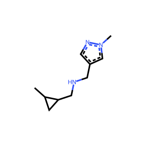 CC1CC1CNCc1cnn(C)c1